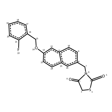 O=C1CSC(=O)N1Cc1ccc2cc(OCc3ccccc3F)ccc2c1